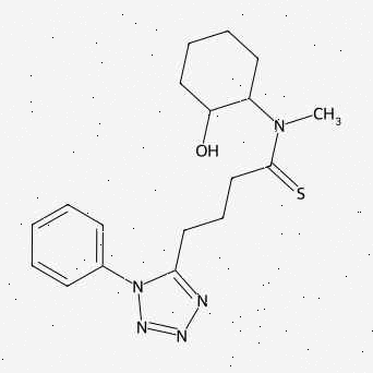 CN(C(=S)CCCc1nnnn1-c1ccccc1)C1CCCCC1O